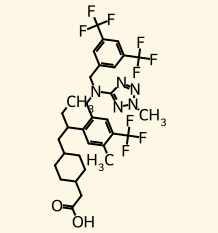 CCC(CC1CCC(CC(=O)O)CC1)c1cc(C)c(C(F)(F)F)cc1CN(Cc1cc(C(F)(F)F)cc(C(F)(F)F)c1)c1nnn(C)n1